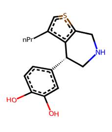 CCCc1csc2c1[C@@H](c1ccc(O)c(O)c1)CNC2